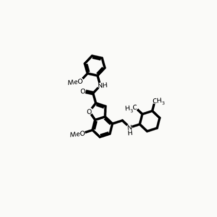 COc1ccccc1NC(=O)c1cc2c(CNC3CCCC(C)C3C)ccc(OC)c2o1